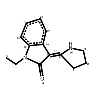 CCN1C(=O)/C(=C2\CCCN2)c2ccccc21